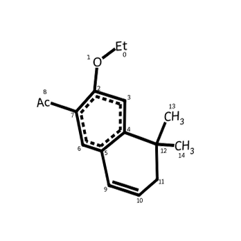 CCOc1cc2c(cc1C(C)=O)C=CCC2(C)C